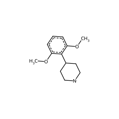 COc1cccc(OC)c1C1CC[N]CC1